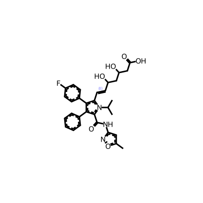 Cc1cc(NC(=O)c2c(-c3ccccc3)c(-c3ccc(F)cc3)c(/C=C/C(O)CC(O)CC(=O)O)n2C(C)C)no1